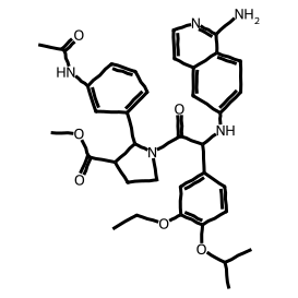 CCOc1cc(C(Nc2ccc3c(N)nccc3c2)C(=O)N2CCC(C(=O)OC)C2c2cccc(NC(C)=O)c2)ccc1OC(C)C